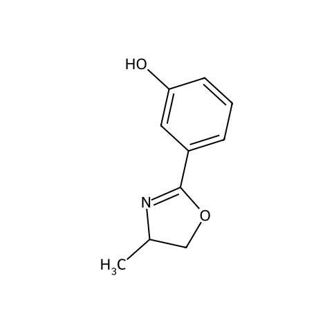 CC1COC(c2cccc(O)c2)=N1